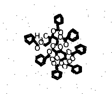 CC1C(COC(=O)c2ccccc2)OC(OC2C(COC(=O)c3ccccc3)OC(OC(=O)c3ccccc3)C(OC(=O)c3ccccc3)C2OC(=O)c2ccccc2)C(OC(=O)c2ccccc2)C1OC(=O)c1ccccc1